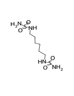 NS(=O)(=O)NCCCCCCNS(N)(=O)=O